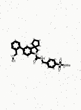 CCOCc1ccccc1-c1ccc2c(c1)C1(CCCC1)CN2C(=O)NCc1ccc(S(=O)(=O)NC)cc1